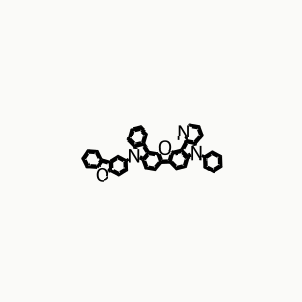 c1ccc(-n2c3cccnc3c3c4oc5c(ccc6c5c5ccccc5n6-c5ccc6oc7ccccc7c6c5)c4ccc32)cc1